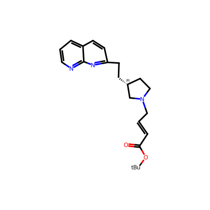 CC(C)(C)OC(=O)C=CCN1CC[C@@H](CCc2ccc3cccnc3n2)C1